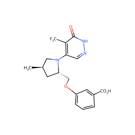 C[C@@H]1C[C@@H](COc2cccc(C(=O)O)c2)N(c2cn[nH]c(=O)c2C(F)(F)F)C1